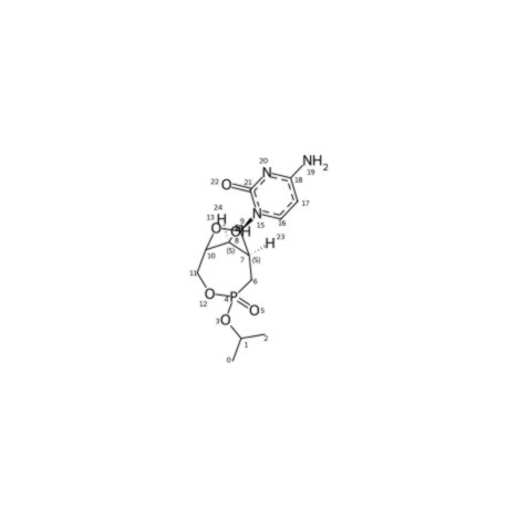 CC(C)OP1(=O)C[C@H]2[C@H](O)C(CO1)O[C@H]2n1ccc(N)nc1=O